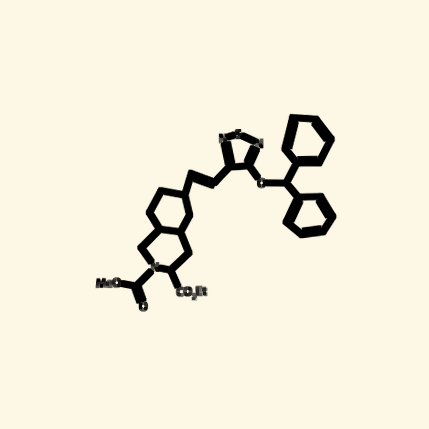 CCOC(=O)C1CC2CC(C=Cc3nsnc3OC(c3ccccc3)c3ccccc3)CCC2CN1C(=O)OC